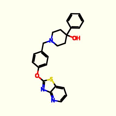 OC1(c2ccccc2)CCN(Cc2ccc(Oc3nc4ncccc4s3)cc2)CC1